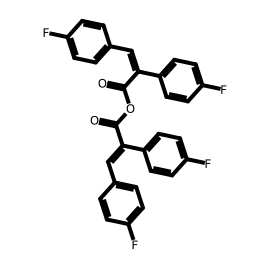 O=C(OC(=O)C(=Cc1ccc(F)cc1)c1ccc(F)cc1)C(=Cc1ccc(F)cc1)c1ccc(F)cc1